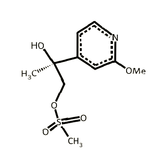 COc1cc([C@](C)(O)COS(C)(=O)=O)ccn1